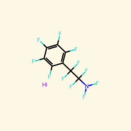 Fc1c(F)c(F)c(C(F)(F)C(F)(F)N(F)F)c(F)c1F.I